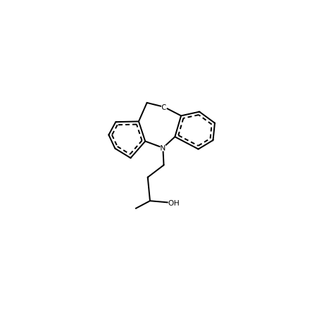 CC(O)CCN1c2ccccc2CCc2ccccc21